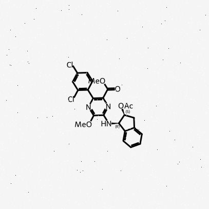 COC(=O)c1nc(N[C@@H]2c3ccccc3C[C@@H]2OC(C)=O)c(OC)nc1-c1ccc(Cl)cc1Cl